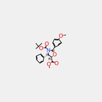 COC(=O)[C@@H]1O[C@H](c2ccc(OC)cc2)N(C(=O)OC(C)(C)C)[C@H]1c1ccccc1